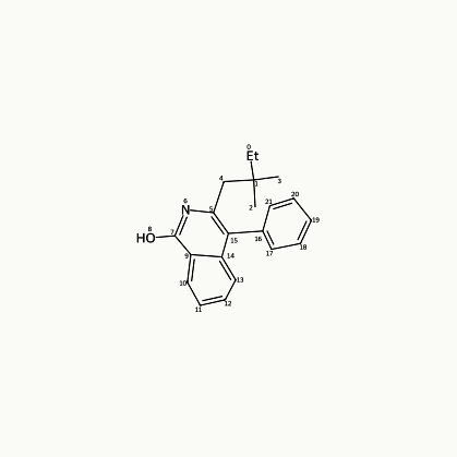 CCC(C)(C)Cc1nc(O)c2ccccc2c1-c1ccccc1